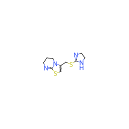 C1=C(CSC2=NCCN2)N2CCCN=C2S1